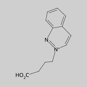 O=C(O)CCC[n+]1ccc2ccccc2n1